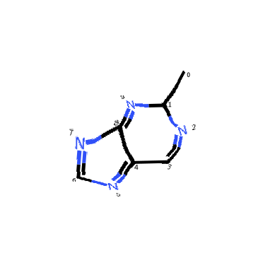 CC1N=CC2=NC=NC2=N1